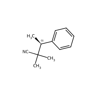 C[C@@H](c1ccccc1)C(C)(C)C#N